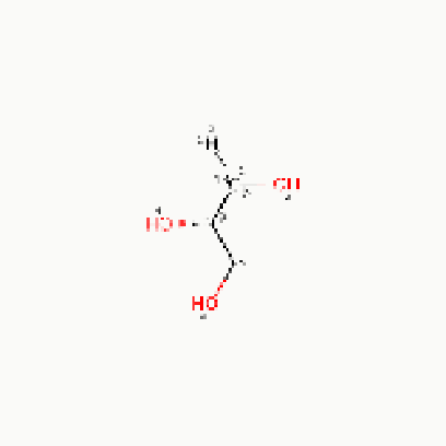 [2H][13C@H](O)[C@@H](O)CO